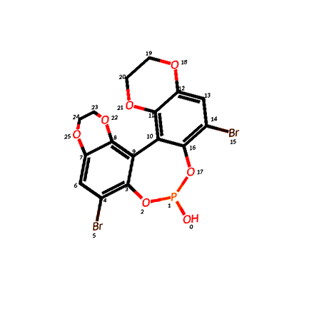 Op1oc2c(Br)cc3c(c2c2c4c(cc(Br)c2o1)OCCO4)OCCO3